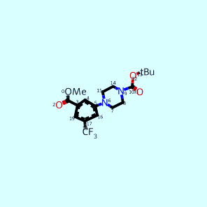 COC(=O)c1cc(N2CCN(C(=O)OC(C)(C)C)CC2)cc(C(F)(F)F)c1